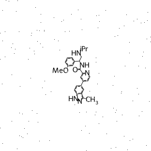 COc1cccc(C(CNC(C)C)NC(=O)c2cc(-c3ccc4[nH]nc(C)c4c3)ccn2)c1